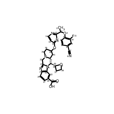 CC(Oc1ccc(C#N)cc1F)c1nccc(OC2CCN(Cc3nc4ccc(C(=O)O)cc4n3C[C@@H]3CCO3)CC2)n1